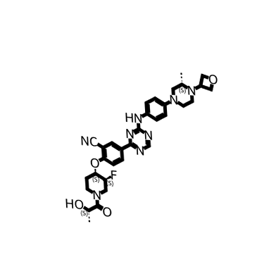 C[C@H](O)C(=O)N1CC[C@H](Oc2ccc(-c3ncnc(Nc4ccc(N5CCN(C6COC6)[C@@H](C)C5)cc4)n3)cc2C#N)[C@@H](F)C1